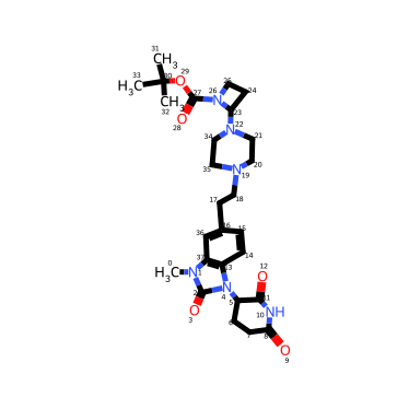 Cn1c(=O)n(C2CCC(=O)NC2=O)c2ccc(CCN3CCN(C4CCN4C(=O)OC(C)(C)C)CC3)cc21